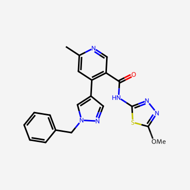 COc1nnc(NC(=O)c2cnc(C)cc2-c2cnn(Cc3ccccc3)c2)s1